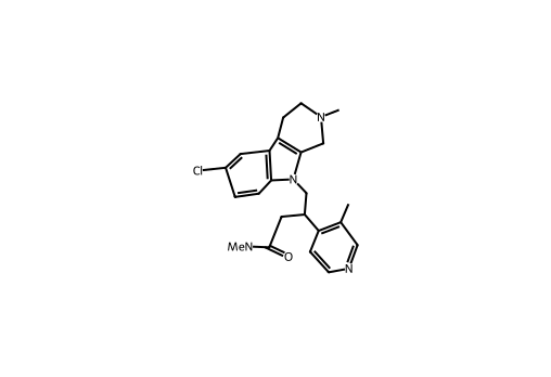 CNC(=O)CC(Cn1c2c(c3cc(Cl)ccc31)CCN(C)C2)c1ccncc1C